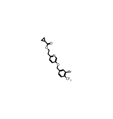 O=C(OCCc1ccc(OCc2ccc(C(F)(F)F)c(Br)c2)cn1)C1CC1